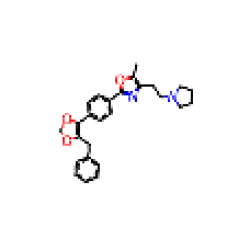 Cc1oc(-c2ccc(C3=C(Cc4ccccc4)OCO3)cc2)nc1CCN1CCCC1